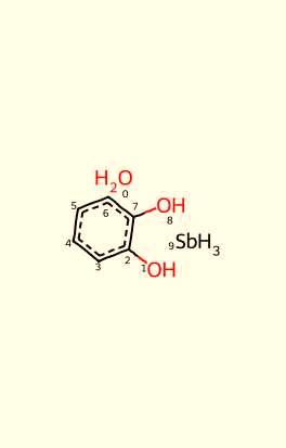 O.Oc1ccccc1O.[SbH3]